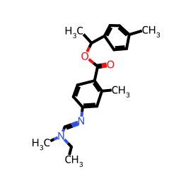 CCN(C)/C=N/c1ccc(C(=O)OC(C)c2ccc(C)cc2)c(C)c1